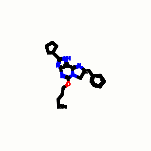 CSCCCOC1=Nc2nc(C3CCCC3)[nH]c2C2=N[C@H](Cc3ccccc3)CN12